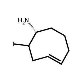 N[C@@H]1CCC/C=C/CC1I